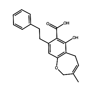 CC1=CCc2c(cc(CCc3ccccc3)c(C(=O)O)c2O)OC1